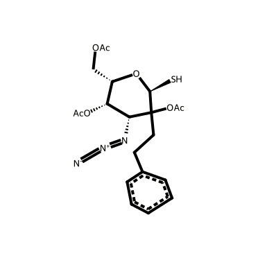 CC(=O)OC[C@@H]1O[C@@H](S)C(CCc2ccccc2)(OC(C)=O)[C@H](N=[N+]=[N-])[C@@H]1OC(C)=O